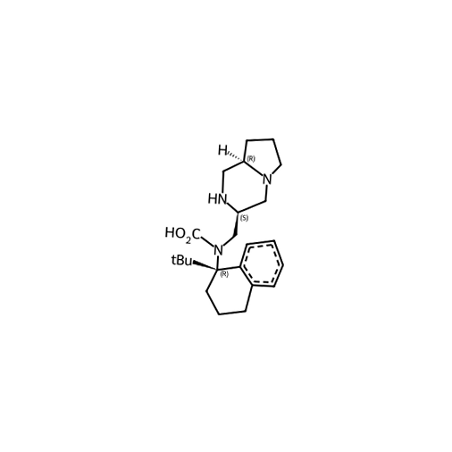 CC(C)(C)[C@]1(N(C[C@@H]2CN3CCC[C@@H]3CN2)C(=O)O)CCCc2ccccc21